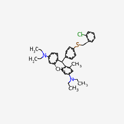 CCN(CC)c1ccc(C(c2ccc(SCc3ccccc3Cl)cc2)c2ccc(N(CC)CC)cc2C)c(C)c1